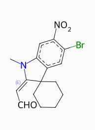 CN1/C(=C/C=O)C2(CCCCC2)c2cc(Br)c([N+](=O)[O-])cc21